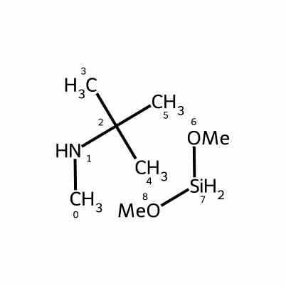 CNC(C)(C)C.CO[SiH2]OC